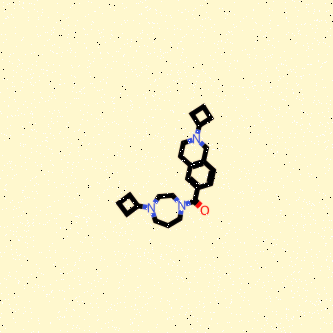 O=C(c1ccc2c(c1)CCN(C1CCC1)C2)N1CCCN(C2CCC2)CC1